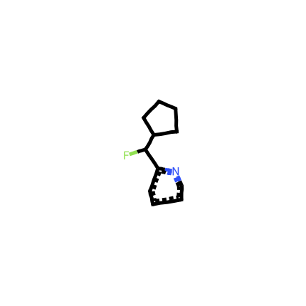 FC(c1ccccn1)C1CCCC1